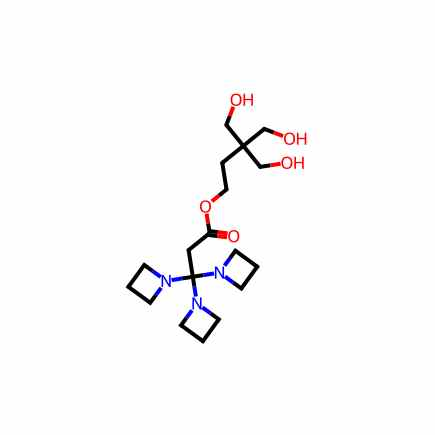 O=C(CC(N1CCC1)(N1CCC1)N1CCC1)OCCC(CO)(CO)CO